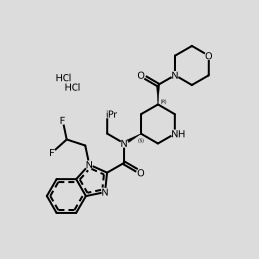 CC(C)CN(C(=O)c1nc2ccccc2n1CC(F)F)[C@@H]1CNC[C@H](C(=O)N2CCOCC2)C1.Cl.Cl